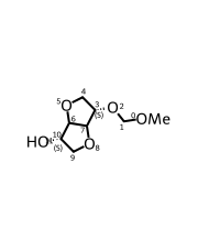 COCO[C@H]1COC2C1OC[C@@H]2O